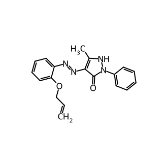 C=CCOc1ccccc1/N=N/c1c(C)[nH]n(-c2ccccc2)c1=O